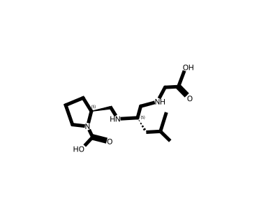 CC(C)C[C@@H](CNCC(=O)O)NC[C@@H]1CCCN1C(=O)O